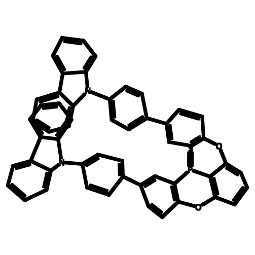 S=P12c3cc(-c4ccc(-n5c6ccccc6c6ccccc65)cc4)ccc3Oc3cccc(c31)Oc1ccc(-c3ccc(-n4c5ccccc5c5ccccc54)cc3)cc12